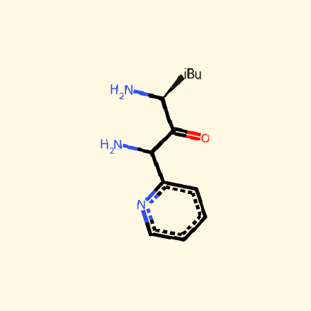 CCC(C)[C@H](N)C(=O)C(N)c1ccccn1